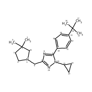 CC1(C)CCN(Cc2nc(-c3ccc(C(C)(C)C)cc3)n(C3CC3)n2)C1